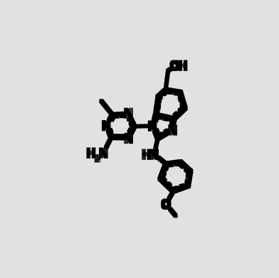 COc1cccc(Nc2nc3ccc(CO)cc3n2-c2nc(C)nc(N)n2)c1